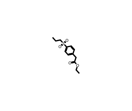 CCCS(=O)(=O)c1ccc(CC(=O)OCC)cc1